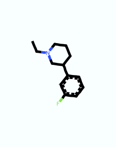 CCN1CCCC(c2[c]c(F)ccc2)C1